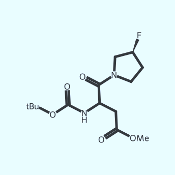 COC(=O)CC(NC(=O)OC(C)(C)C)C(=O)N1CC[C@H](F)C1